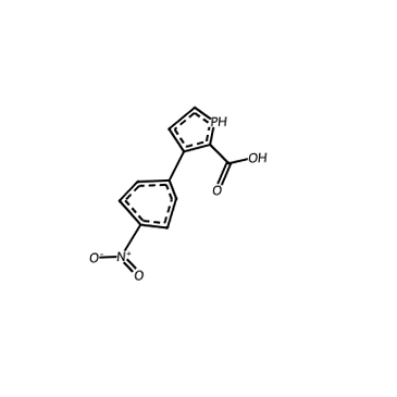 O=C(O)c1[pH]ccc1-c1ccc([N+](=O)[O-])cc1